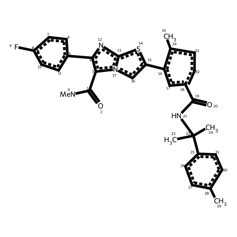 CNC(=O)c1c(-c2ccc(F)cc2)nc2sc(-c3cc(C(=O)NC(C)(C)c4ccc(C)cc4)ccc3C)cn12